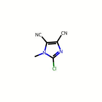 Cn1c(Cl)nc(C#N)c1C#N